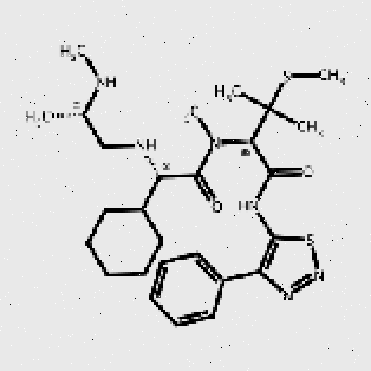 CN[C@@H](C)CN[C@H](C(=O)N(C)[C@H](C(=O)Nc1snnc1-c1ccccc1)C(C)(C)SC)C1CCCCC1